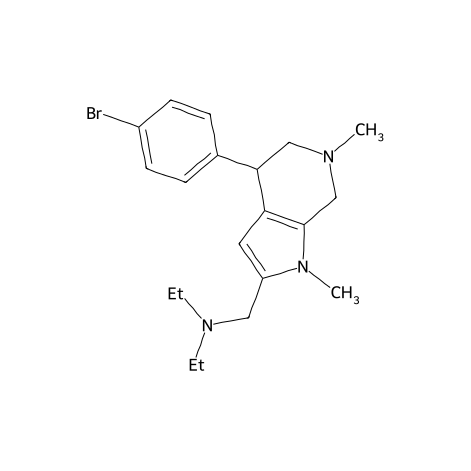 CCN(CC)Cc1cc2c(n1C)CN(C)CC2c1ccc(Br)cc1